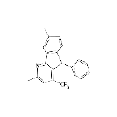 Cc1ccc2c(c1)-c1nc(C)cc(C(F)(F)F)c1C2c1ccccc1